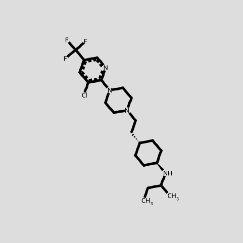 CCC(C)N[C@H]1CC[C@H](CCN2CCN(c3ncc(C(F)(F)F)cc3Cl)CC2)CC1